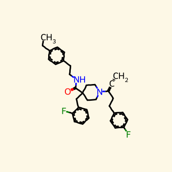 C=C=C(CCc1ccc(F)cc1)N1CCC(Cc2ccccc2F)(C(=O)NCCc2ccc(CC)cc2)CC1